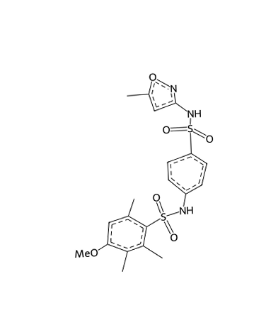 COc1cc(C)c(S(=O)(=O)Nc2ccc(S(=O)(=O)Nc3cc(C)on3)cc2)c(C)c1C